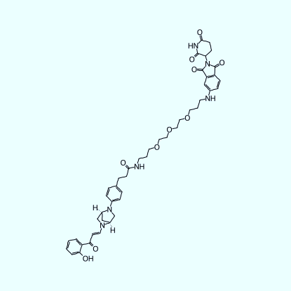 O=C(CCc1ccc(N2C[C@@H]3C[C@H]2CN3/C=C/C(=O)c2ccccc2O)cc1)NCCCOCCOCCOCCCNc1ccc2c(c1)C(=O)N(C1CCC(=O)NC1=O)C2=O